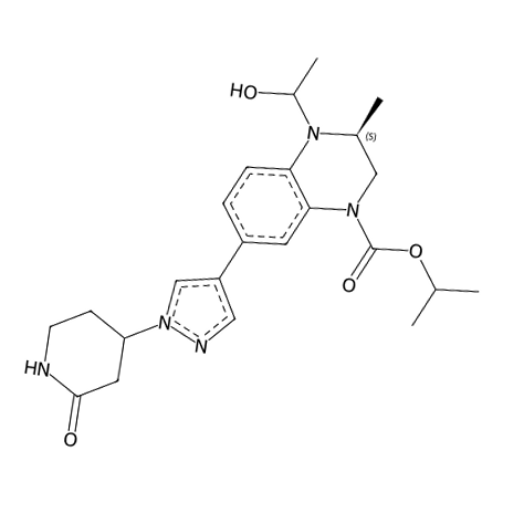 CC(C)OC(=O)N1C[C@H](C)N(C(C)O)c2ccc(-c3cnn(C4CCNC(=O)C4)c3)cc21